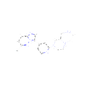 FC(F)c1ccc2ncc(-c3ccnc(N4CCN5CCNCC5C4)c3)n2n1